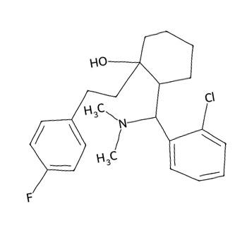 CN(C)C(c1ccccc1Cl)C1CCCCC1(O)CCc1ccc(F)cc1